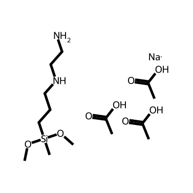 CC(=O)O.CC(=O)O.CC(=O)O.CO[Si](C)(CCCNCCN)OC.[Na]